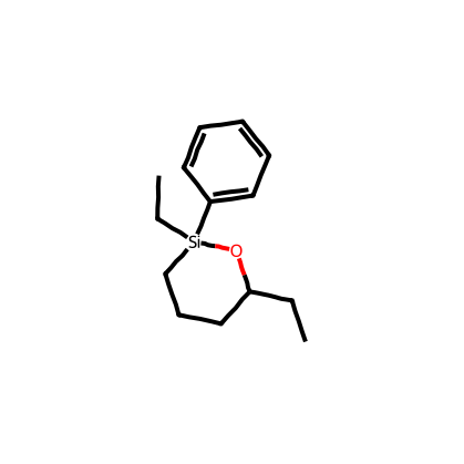 CCC1CCC[Si](CC)(c2ccccc2)O1